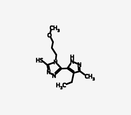 CCc1c(C)n[nH]c1-c1nnc(S)n1CCCOC